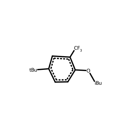 CCC(C)Oc1ccc(C(C)(C)C)cc1C(F)(F)F